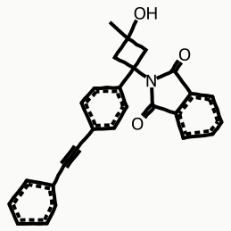 CC1(O)CC(c2ccc(C#Cc3ccccc3)cc2)(N2C(=O)c3ccccc3C2=O)C1